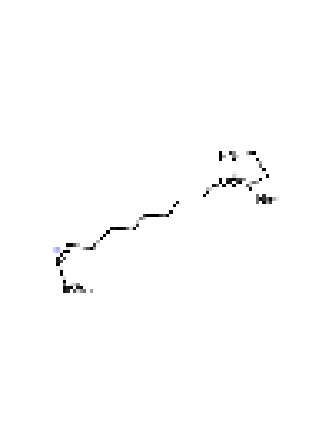 C1=NCCN1.CCCCCCCC/C=C\CCCCCCCC(=O)[O-].[Na+]